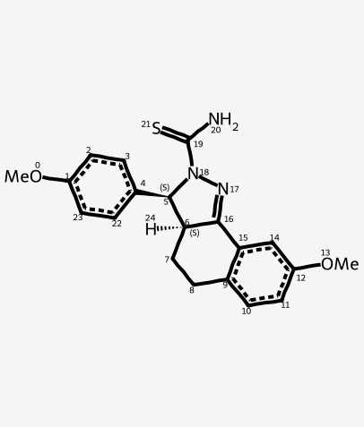 COc1ccc([C@@H]2[C@@H]3CCc4ccc(OC)cc4C3=NN2C(N)=S)cc1